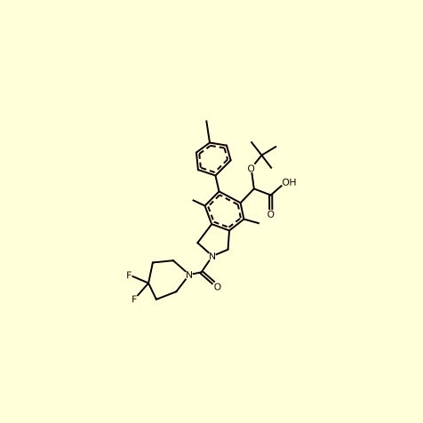 Cc1ccc(-c2c(C)c3c(c(C)c2C(OC(C)(C)C)C(=O)O)CN(C(=O)N2CCC(F)(F)CC2)C3)cc1